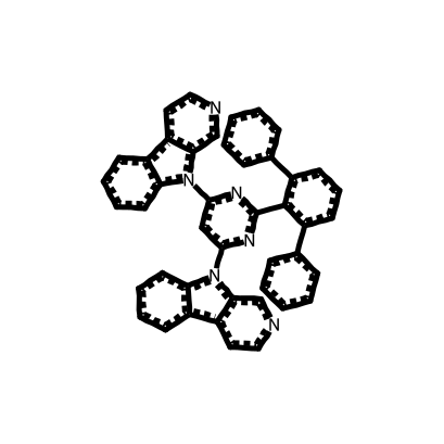 c1ccc(-c2cccc(-c3ccccc3)c2-c2nc(-n3c4ccccc4c4ccncc43)cc(-n3c4ccccc4c4ccncc43)n2)cc1